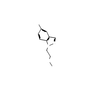 CCCOCCn1ncc2cc(C)ccc21